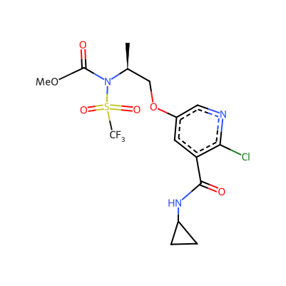 COC(=O)N([C@@H](C)COc1cnc(Cl)c(C(=O)NC2CC2)c1)S(=O)(=O)C(F)(F)F